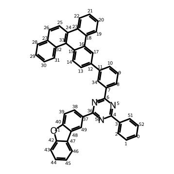 c1ccc(-c2nc(-c3cccc(-c4ccc5c(c4)c4ccccc4c4ccc6ccccc6c45)c3)nc(-c3ccc4oc5ccccc5c4c3)n2)cc1